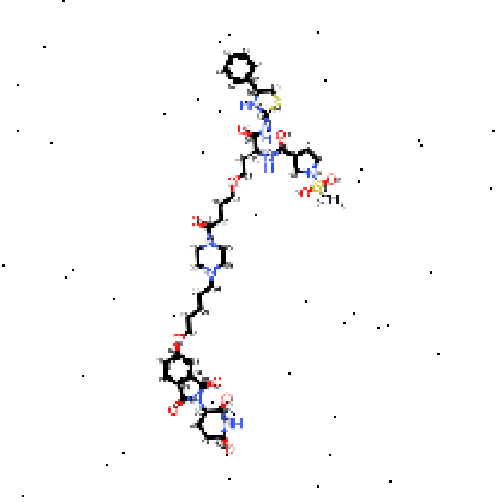 CS(=O)(=O)N1CCC(C(=O)N[C@@H](CCOCCCC(=O)N2CCN(CCCCCOc3ccc4c(c3)C(=O)N(C3CCC(=O)NC3=O)C4=O)CC2)C(=O)NC2NC(c3ccccc3)CS2)C1